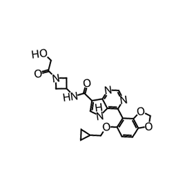 O=C(NC1CN(C(=O)CO)C1)c1c[nH]c2c(-c3c(OCC4CC4)ccc4c3OCO4)ncnc12